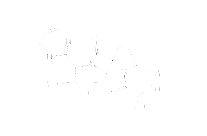 CC(C)C(=O)N1C(C)CCC12C(=O)N(C(c1ncccn1)C(C)O)C2C